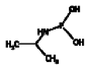 CC(C)NP(O)O